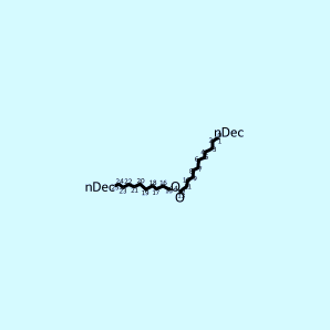 CCCCCCCCCCCCCCCCCCCCCC(=O)OCCCCCCCCCCCCCCCCCCCC